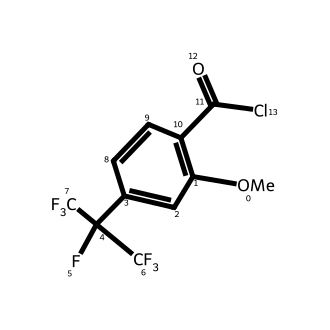 COc1cc(C(F)(C(F)(F)F)C(F)(F)F)ccc1C(=O)Cl